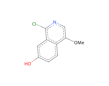 COc1cnc(Cl)c2cc(O)ccc12